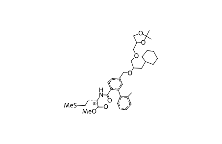 COC(=O)[C@H](CCSC)NC(=O)c1ccc(COC(COCC2COC(C)(C)O2)CC2CCCCC2)cc1-c1ccccc1C